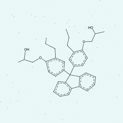 CCCc1cc(C2(c3ccc(OCC(C)O)c(CCC)c3)c3ccccc3-c3ccccc32)ccc1OCC(C)O